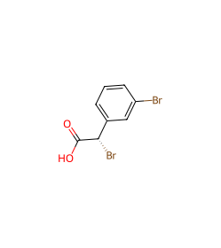 O=C(O)[C@@H](Br)c1cccc(Br)c1